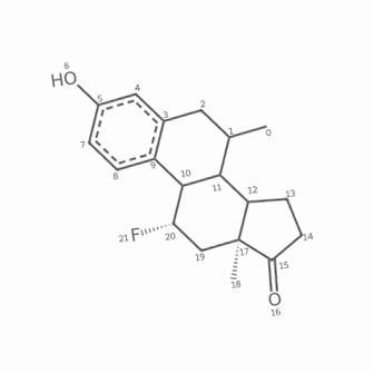 CC1Cc2cc(O)ccc2C2C1C1CCC(=O)[C@@]1(C)C[C@@H]2F